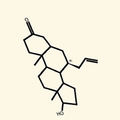 C=CC[C@@H]1CC2CC(=O)CCC2(C)C2CCC3(C)C(O)CCC3C21